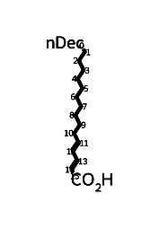 CCCCCCCCCCCCCCCCCCCCC=CC=CC(=O)O